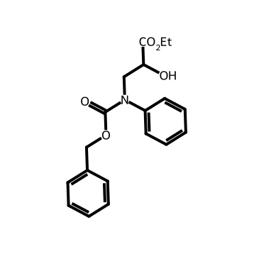 CCOC(=O)C(O)CN(C(=O)OCc1ccccc1)c1ccccc1